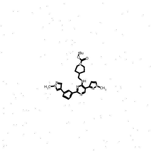 Cn1cc(-c2cccc(-c3ncc(-c4ccn(C)n4)c(NCC4CCN(C(=O)OC(C)(C)C)CC4)n3)c2)cn1